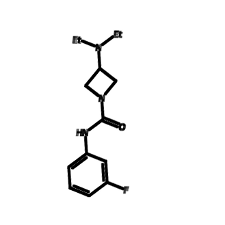 CCN(CC)C1CN(C(=O)Nc2cccc(F)c2)C1